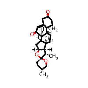 C[C@@H]1CC[C@@]2(OC1)O[C@H]1C[C@H]3[C@@H]4C(=O)C=C5CC(=O)CC[C@]5(C)[C@H]4CC[C@]3(C)[C@H]1[C@@H]2C